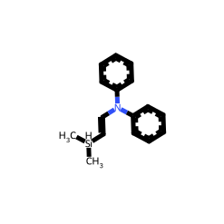 C[SiH](C)C=CN(c1ccccc1)c1ccccc1